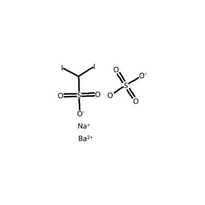 O=S(=O)([O-])C(I)I.O=S(=O)([O-])[O-].[Ba+2].[Na+]